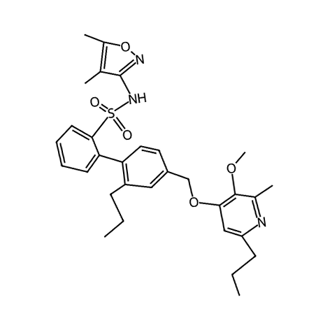 CCCc1cc(OCc2ccc(-c3ccccc3S(=O)(=O)Nc3noc(C)c3C)c(CCC)c2)c(OC)c(C)n1